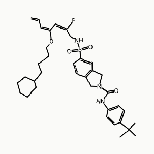 C=C/C=C(\C=C(\F)CNS(=O)(=O)c1ccc2c(c1)CN(C(=O)Nc1ccc(C(C)(C)C)cc1)C2)OCCCCC1CCCCC1